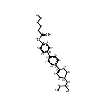 CCCCCC(=O)Oc1ccc(-c2ccc(C3=CCC(CC(C)CC)CC3)cc2)cc1